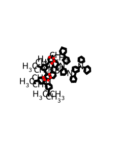 CC(C)(C)c1cc(-c2ccccc2)c(N2c3cc(-n4c5ccc(C(C)(C)C)cc5c5cc(C(C)(C)C)ccc54)ccc3B3c4ccc(-n5c6ccccc6c6cc(N(c7ccccc7)c7ccccc7)ccc65)cc4N(c4cccc(-c5ccccc5)c4)c4cc(C(C)(C)C)cc2c43)c(-c2ccccc2)c1